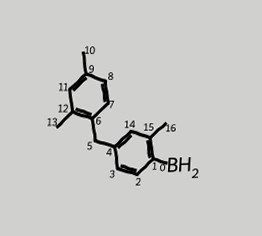 Bc1ccc(Cc2ccc(C)cc2C)cc1C